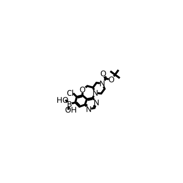 CC(C)(C)OC(=O)N1CCN2c3ncnc4cc(B(O)O)c(Cl)c(c34)OCC2C1